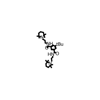 CC(C)(C)c1cc(C(=O)NCCCN2C(C)(C)CCCC2(C)C)cc(C(=O)NCCCN2C(C)(C)CCCC2(C)C)c1